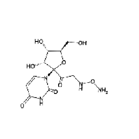 NONCC(=O)[C@@]1(n2ccc(=O)[nH]c2=O)O[C@H](CO)[C@@H](O)[C@H]1O